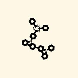 c1ccc(-c2nc(-c3ccccc3)nc(-c3ccc(-n4c5ccccc5c5ccc(-c6ccc7c(c6)c6ccccc6n7-c6ccccc6)cc54)cc3)n2)cc1